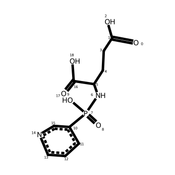 O=C(O)CCC(NP(=O)(O)c1cccnc1)C(=O)O